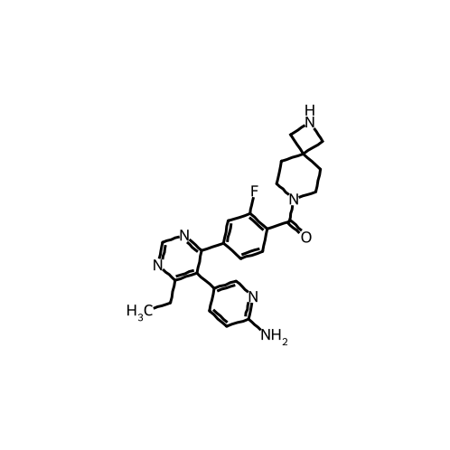 CCc1ncnc(-c2ccc(C(=O)N3CCC4(CC3)CNC4)c(F)c2)c1-c1ccc(N)nc1